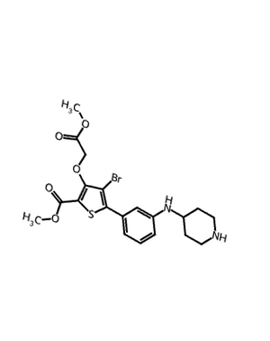 COC(=O)COc1c(C(=O)OC)sc(-c2cccc(NC3CCNCC3)c2)c1Br